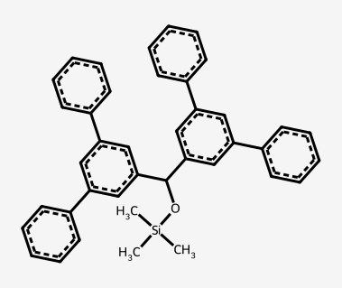 C[Si](C)(C)OC(c1cc(-c2ccccc2)cc(-c2ccccc2)c1)c1cc(-c2ccccc2)cc(-c2ccccc2)c1